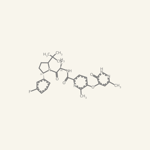 Cc1cc(Oc2ccc(C(=O)N[C@H](C)C(=O)N3C(C(C)(C)C#N)CC[C@H]3c3cccc(F)c3)nc2C)c(=O)[nH]n1